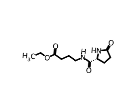 CCOC(=O)CCCNC(=O)[C@H]1CCC(=O)N1